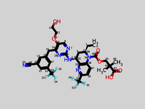 CC[C@@H]1C[C@H](Nc2ncc(OCCO)c(Cc3cc(C#N)cc(C(F)(F)F)c3)n2)c2nc(C(F)(F)F)ccc2N1C(=O)OCC(C)(C)C(=O)O